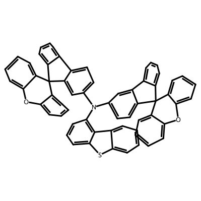 c1ccc2c(c1)Oc1ccccc1C21c2ccccc2-c2cc(N(c3ccc4c(c3)C3(c5ccccc5Oc5ccccc53)c3ccccc3-4)c3cccc4sc5ccccc5c34)ccc21